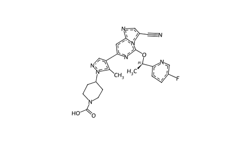 Cc1c(-c2cc3ncc(C#N)n3c(O[C@H](C)c3ccc(F)cn3)n2)cnn1C1CCN(C(=O)O)CC1